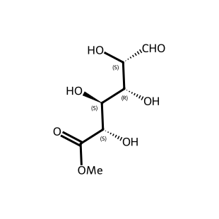 COC(=O)[C@@H](O)[C@@H](O)[C@@H](O)[C@H](O)C=O